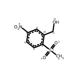 CS(=O)(=O)c1ccc([N+](=O)[O-])cc1CO